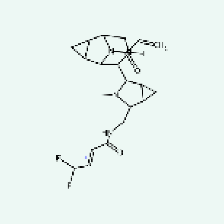 C=CC(=O)N1C2CN(I)C(C3C4CC4C(CNC(=O)/C=C/C(F)F)N3I)C1C1CC12